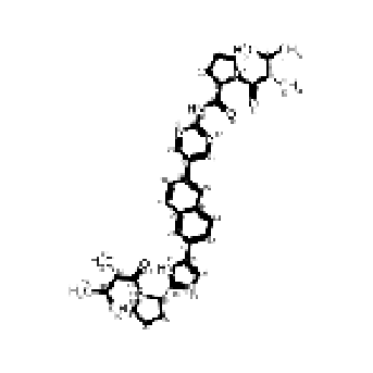 CC(C)[C@H](C)C(=O)N1CCCC1C(=O)Nc1ncc(-c2ccc3cc(-c4cnc([C@@H]5CCCN5C(=O)[C@@H](C)C(C)C)[nH]4)ccc3c2)cn1